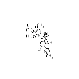 COc1nc(NS(=O)(=O)c2c[nH]c3c(-c4ccn(C)n4)c(Cl)ccc23)nc(OC)c1OCC(F)F